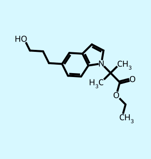 CCOC(=O)C(C)(C)n1ccc2cc(CCCO)ccc21